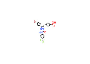 O=C(O)c1ccc(CC2CN(C(=O)Nc3ccc(C(F)(F)F)cc3)N=C2c2ccc(Br)cc2)cc1